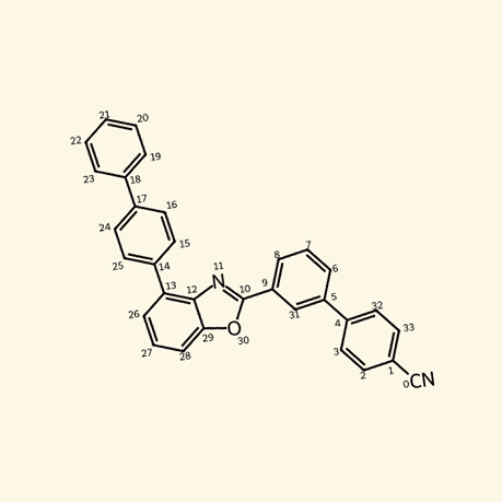 N#Cc1ccc(-c2cccc(-c3nc4c(-c5ccc(-c6ccccc6)cc5)cccc4o3)c2)cc1